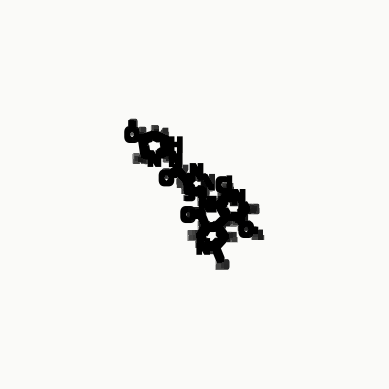 COc1ccc(NC(=O)c2nnc(NC(=O)c3cnc(C)cc3-c3cc(Cl)ncc3OC)s2)nc1